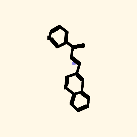 O=C(/C=C/c1cnc2ccccc2c1)c1cccnc1